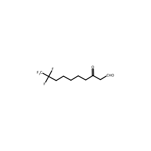 O=CCC(=O)CCCCCC(F)(F)C(F)(F)F